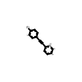 Fc1[c]cc(C#Cc2ccccn2)cc1